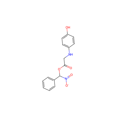 O=C(CNc1ccc(O)cc1)OC(c1ccccc1)[N+](=O)[O-]